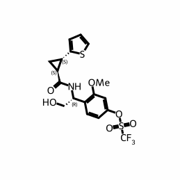 COc1cc(OS(=O)(=O)C(F)(F)F)ccc1[C@H](CO)NC(=O)[C@H]1C[C@@H]1c1cccs1